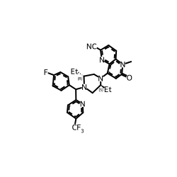 CC[C@H]1CN(C(c2ccc(F)cc2)c2ccc(C(F)(F)F)cn2)[C@H](CC)CN1c1cc(=O)n(C)c2ccc(C#N)nc12